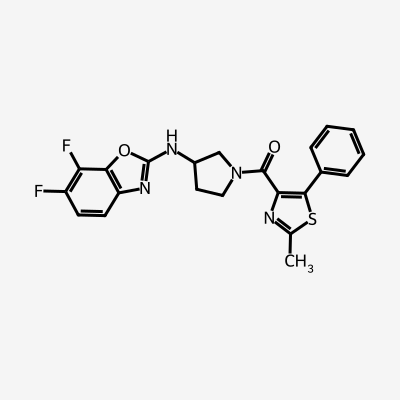 Cc1nc(C(=O)N2CCC(Nc3nc4ccc(F)c(F)c4o3)C2)c(-c2ccccc2)s1